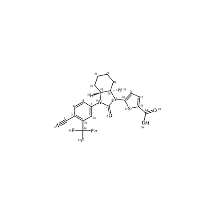 N#Cc1ccc(N2C(=O)N(c3ccc(C(=O)O)s3)[C@@H]3CCCC[C@H]32)cc1C(F)(F)F